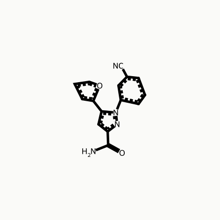 N#Cc1cccc(-n2nc(C(N)=O)cc2-c2ccco2)c1